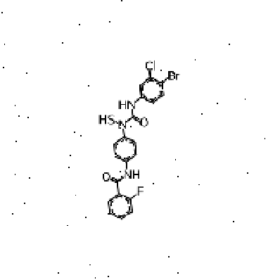 O=C(Nc1ccc(N(S)C(=O)Nc2ccc(Br)c(Cl)c2)cc1)c1ccccc1F